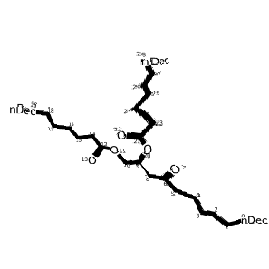 CCCCCCCCCCCCCCCC(=O)[CH][C@@H](COC(=O)CCCCCCCCCCCCCCC)OC(=O)CCCCCCCCCCCCCCC